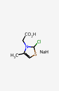 CC1=CSC(Cl)N1CC(=O)O.[NaH]